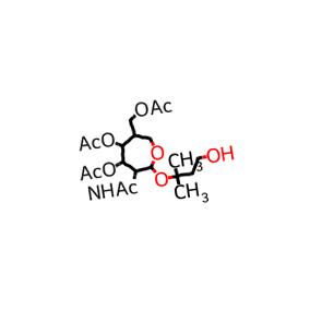 CC(=O)NC1C(OC(C)(C)CCO)OCC(COC(C)=O)C(OC(C)=O)C1OC(C)=O